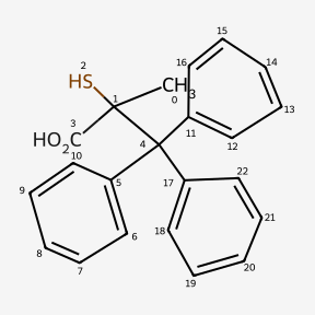 CC(S)(C(=O)O)C(c1ccccc1)(c1ccccc1)c1ccccc1